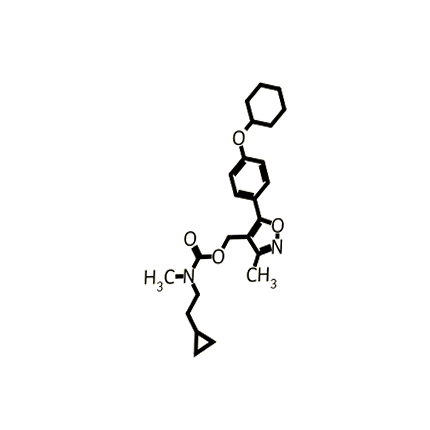 Cc1noc(-c2ccc(OC3CCCCC3)cc2)c1COC(=O)N(C)CCC1CC1